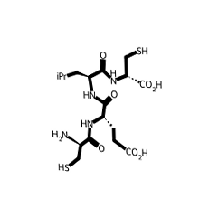 CC(C)C[C@H](NC(=O)[C@H](CCC(=O)O)NC(=O)[C@H](N)CS)C(=O)N[C@H](CS)C(=O)O